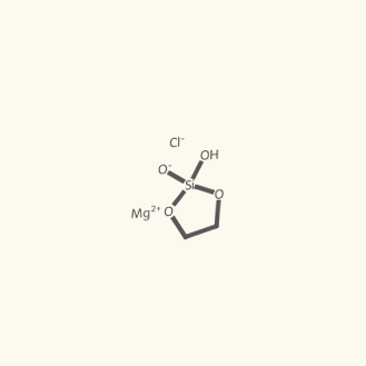 [Cl-].[Mg+2].[O-][Si]1(O)OCCO1